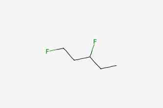 CCC(F)CCF